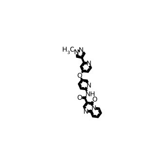 Cn1cc(-c2cc(Oc3ccc(NC(=O)c4cnc5ccccn5c4=O)nc3)ccn2)cn1